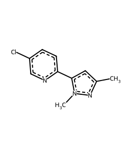 Cc1cc(-c2ccc(Cl)cn2)n(C)n1